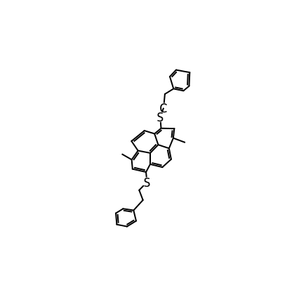 Cc1cc(SCCc2ccccc2)c2ccc3c(C)cc(SCCc4ccccc4)c4ccc1c2c34